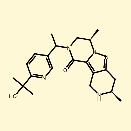 CC(c1ccc(C(C)(C)O)nc1)N1C[C@@H](C)n2nc3c(c2C1=O)CN[C@H](C)C3